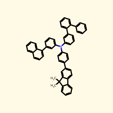 CC1(C)c2ccccc2-c2ccc(-c3ccc(N(c4cccc(-c5ccccc5-c5ccccc5)c4)c4cccc(-c5cccc6ccccc56)c4)cc3)cc21